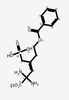 CCOC(=O)C(N)(N)C=C(CCOC(=O)c1ccccc1)CP(=O)(O)O